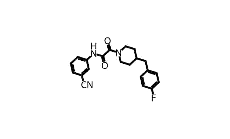 N#Cc1cccc(NC(=O)C(=O)N2CCC(Cc3ccc(F)cc3)CC2)c1